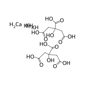 O=C(O)CC(O)(CC(=O)O)C(=O)O.O=C(O)CC(O)(CC(=O)O)C(=O)O.[CaH2].[KH].[KH].[KH]